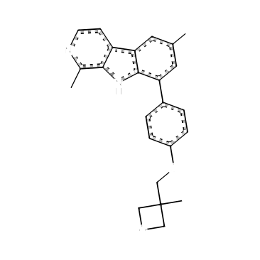 Cc1nccc2c1[nH]c1c(-c3ccc(OCC4(C)COC4)cc3)cc(Cl)cc12